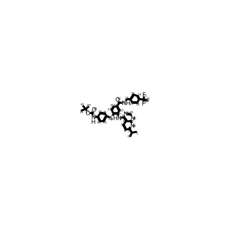 CC(C)c1ccc2c(Nc3cc(C(=O)NCc4ccc(C(F)(F)F)cc4)ccc3Sc3ccc(NC(=O)OC(C)(C)C)cc3)ncnc2n1